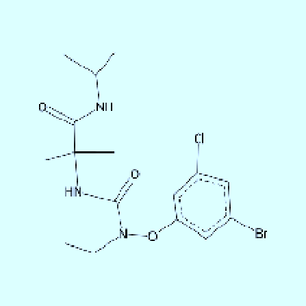 CCN(Oc1cc(Cl)cc(Br)c1)C(=O)NC(C)(C)C(=O)NC(C)C